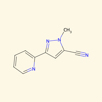 Cn1nc(-c2ccccn2)cc1C#N